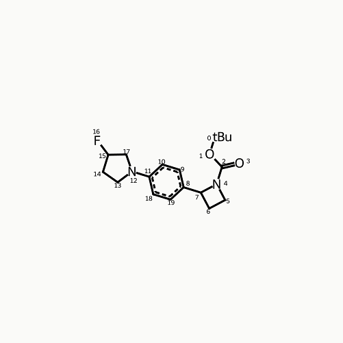 CC(C)(C)OC(=O)N1CCC1c1ccc(N2CCC(F)C2)cc1